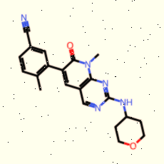 Cc1ccc(C#N)cc1-c1cc2cnc(NC3CCOCC3)nc2n(C)c1=O